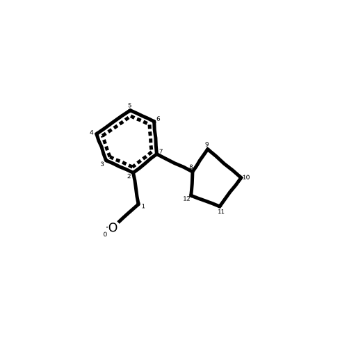 [O]Cc1ccccc1C1CCCC1